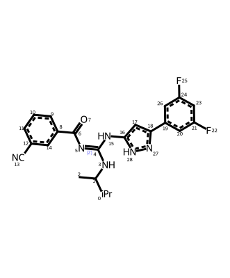 CC(C)C(C)N/C(=N/C(=O)c1cccc(C#N)c1)Nc1cc(-c2cc(F)cc(F)c2)n[nH]1